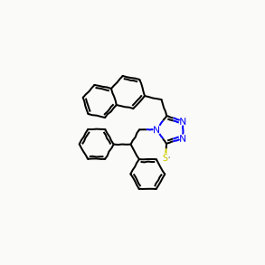 [S]c1nnc(Cc2ccc3ccccc3c2)n1CC(c1ccccc1)c1ccccc1